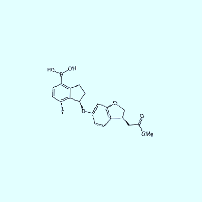 COC(=O)C[C@@H]1COc2cc(O[C@@H]3CCc4c(B(O)O)ccc(F)c43)ccc21